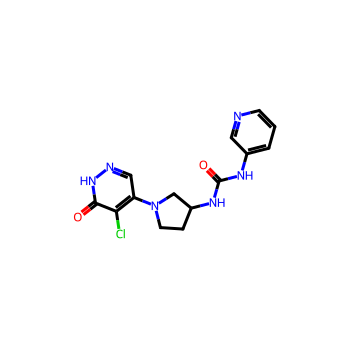 O=C(Nc1cccnc1)NC1CCN(c2cn[nH]c(=O)c2Cl)C1